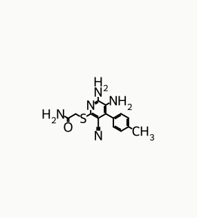 Cc1ccc(-c2c(N)c(N)nc(SCC(N)=O)c2C#N)cc1